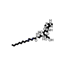 CCCCCCCCC/C=C/C=C/C(=O)NCC(=O)N[C@@H]1C(O)[C@H](O)C(Nc2ncnc3[nH]cnc23)OC1[C@H](O)CO